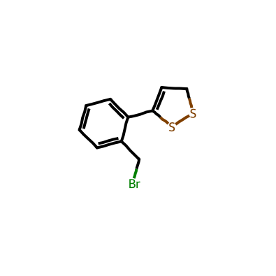 BrCc1ccccc1C1=CCSS1